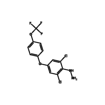 NNc1c(Cl)cc(Oc2ccc(OC(F)(F)F)cc2)cc1Cl